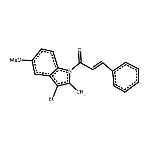 [CH2]Cc1c(C)n(C(=O)/C=C/c2ccccc2)c2ccc(OC)cc12